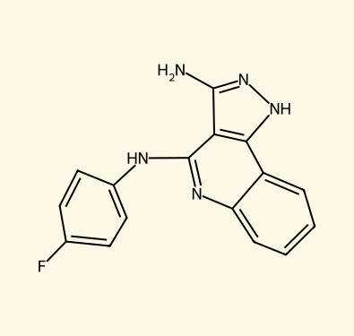 Nc1n[nH]c2c1c(Nc1ccc(F)cc1)nc1ccccc12